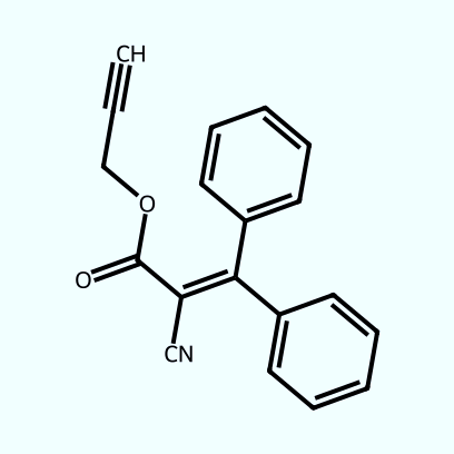 C#CCOC(=O)C(C#N)=C(c1ccccc1)c1ccccc1